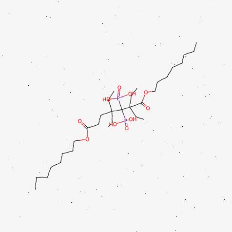 CCCCCCCCOC(=O)CCC(CC)(CC)C(C(CC)(CC)C(=O)OCCCCCCCC)(P(=O)(O)O)P(=O)(O)O